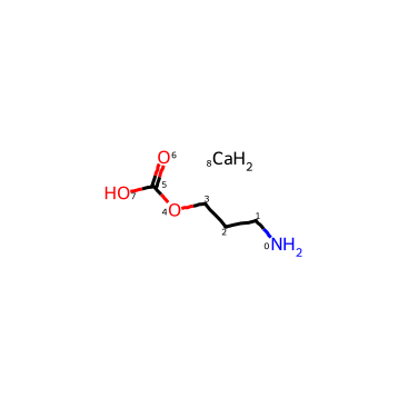 NCCCOC(=O)O.[CaH2]